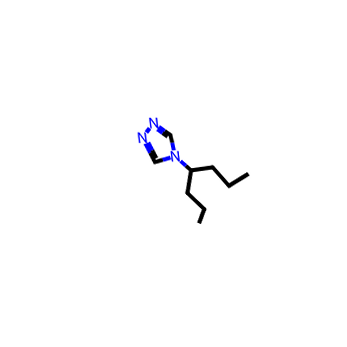 CCCC(CCC)n1cnnc1